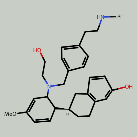 COC1=CC(N(CCO)Cc2ccc(CCNC(C)C)cc2)C([C@@H]2CCc3cc(O)ccc3C2)C=C1